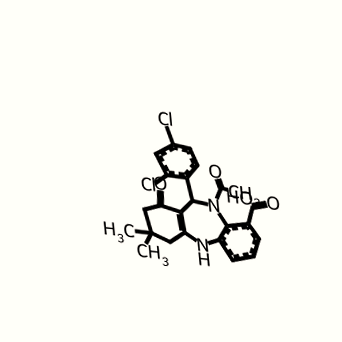 CC(=O)N1c2c(cccc2C(=O)O)NC2=C(C(=O)CC(C)(C)C2)C1c1ccc(Cl)cc1Cl